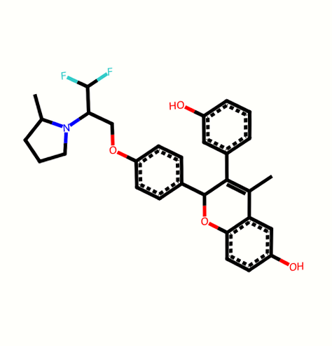 CC1=C(c2cccc(O)c2)C(c2ccc(OCC(C(F)F)N3CCCC3C)cc2)Oc2ccc(O)cc21